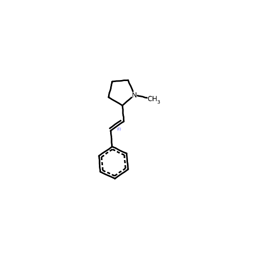 CN1CCCC1/C=C/c1ccccc1